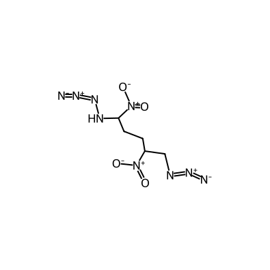 [N-]=[N+]=NCC(CCC(NN=[N+]=[N-])[N+](=O)[O-])[N+](=O)[O-]